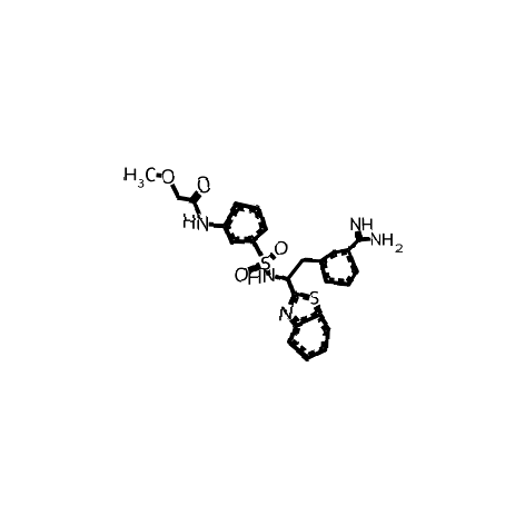 COCC(=O)Nc1cccc(S(=O)(=O)NC(Cc2cccc(C(=N)N)c2)c2nc3ccccc3s2)c1